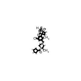 Cc1c(CN2CCN(C(=O)C3CCCC3)[C@@H](C)C2)cc(Cl)cc1C1(C(N)=O)CCC1S(C)(=O)=O